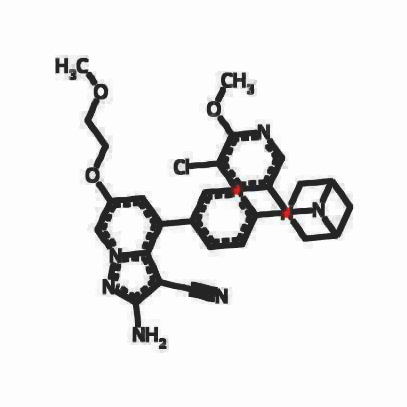 COCCOc1cc(-c2ccc(N3CC4CC(C3)N4Cc3cnc(OC)c(Cl)c3)nc2)c2c(C#N)c(N)nn2c1